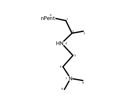 CCCCCCC(C)NCCN(C)C